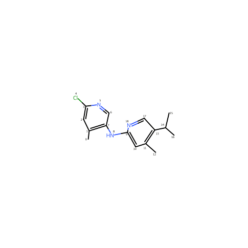 Cc1cc(Cl)ncc1Nc1cc(C)c(C(C)C)cn1